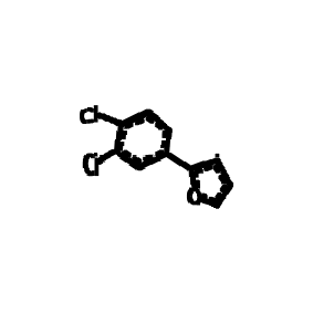 Clc1ccc(-c2[c]cco2)cc1Cl